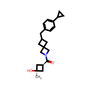 C[C@]1(O)C[C@@H](C(=O)N2CC3(CC(Cc4ccc(C5CC5)cc4)C3)C2)C1